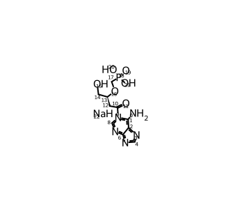 Nc1c2ncnc-2ncn1C(=O)C[C@@H](CO)OCP(=O)(O)O.[NaH]